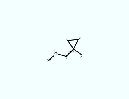 COCC1(C)CC1